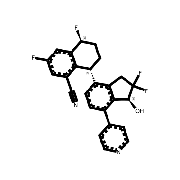 N#Cc1cc(F)cc2c1[C@@H](c1ccc(-c3ccncc3)c3c1CC(F)(F)[C@H]3O)CC[C@@H]2F